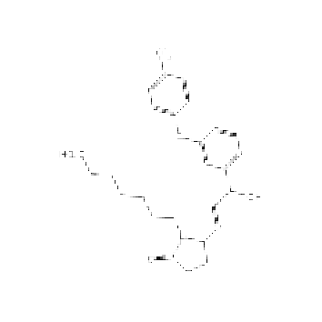 O=C(O)CCCCCCN1C(=O)CCC1C=CC(O)c1cccc(Oc2ccc(C(F)(F)F)cc2)c1